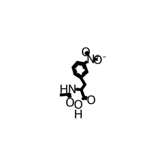 CC(=O)NC(Cc1cccc([N+](=O)[O-])c1)C(=O)O